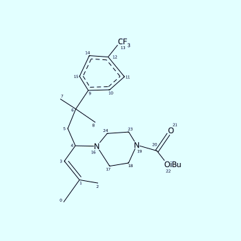 CC(C)=CC(CC(C)(C)c1ccc(C(F)(F)F)cc1)N1CCN(C(=O)OCC(C)C)CC1